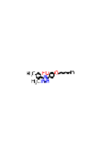 Cc1ccc(-c2ncnc(-c3ccc(OCCCCCC(C)C)cc3O)n2)c(C)c1